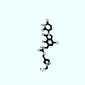 O=C1CCC(N2Cc3c(Cl)cc(CNC(=O)OCc4cnn(CC(F)(F)F)c4)c(F)c3C2=O)C(=O)N1